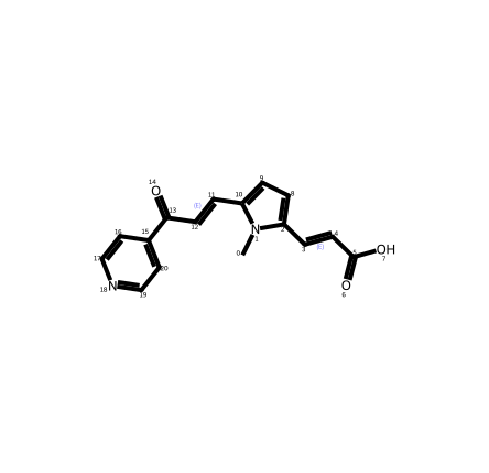 Cn1c(/C=C/C(=O)O)ccc1/C=C/C(=O)c1ccncc1